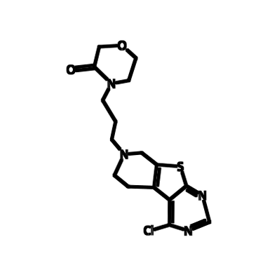 O=C1COCCN1CCCN1CCc2c(sc3ncnc(Cl)c23)C1